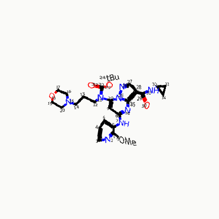 COc1ncccc1Nc1cc(N(CCCN2CCOCC2)C(=O)OC(C)(C)C)n2ncc(C(=O)NC3CC3)c2n1